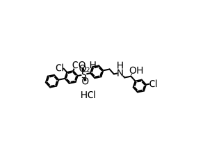 Cl.O=C(O)c1c(S(=O)(=O)c2ccc(CCNC[C@H](O)c3cccc(Cl)c3)cc2)ccc(-c2ccccc2)c1Cl